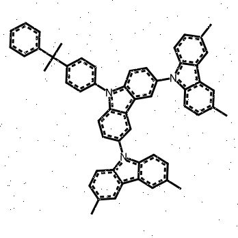 Cc1ccc2c(c1)c1cc(C)ccc1n2-c1ccc2c(c1)c1cc(-n3c4ccc(C)cc4c4cc(C)ccc43)ccc1n2-c1ccc(C(C)(C)c2ccccc2)cc1